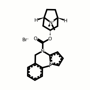 C[N+]1(C)[C@@H]2CC[C@H]1C[C@@H](OC(=O)N(Cc1ccccc1F)c1cccs1)C2.[Br-]